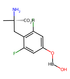 C[C@@](N)(Cc1c(F)cc(OBO)cc1F)C(=O)O